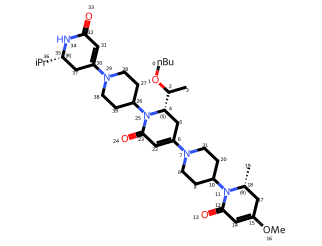 CCCCOC(C)[C@@H]1CC(N2CCC(N3C(=O)C=C(OC)C[C@H]3C)CC2)=CC(=O)N1C1CCN(C2=CC(=O)N[C@@H](C(C)C)C2)CC1